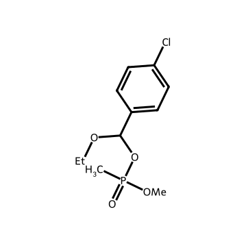 CCOC(OP(C)(=O)OC)c1ccc(Cl)cc1